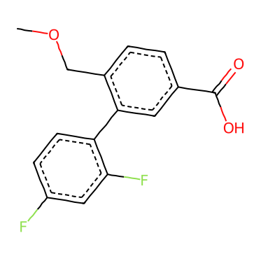 COCc1ccc(C(=O)O)cc1-c1ccc(F)cc1F